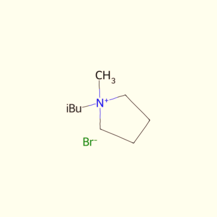 CCC(C)[N+]1(C)CCCC1.[Br-]